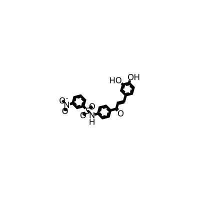 O=C(C=Cc1ccc(O)c(O)c1)c1ccc(NS(=O)(=O)c2cccc([N+](=O)[O-])c2)cc1